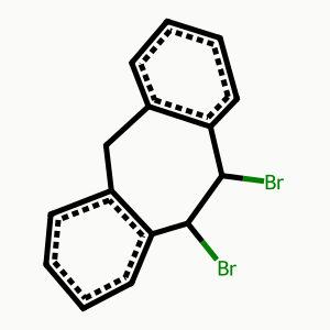 BrC1c2ccccc2Cc2ccccc2C1Br